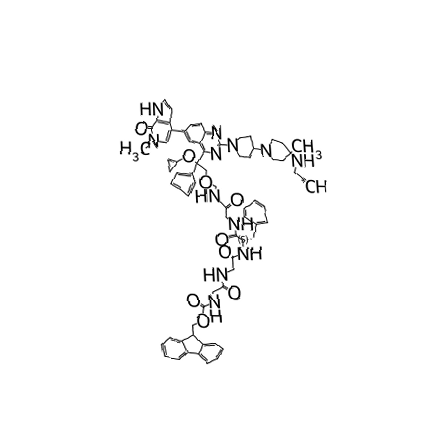 C#CCNC1(C)CCN(C2CCN(c3nc(C(COCNC(=O)CNC(=O)[C@H](Cc4ccccc4)NC(=O)CNC(=O)CNC(=O)OCC4c5ccccc5-c5ccccc54)(OC4CC4)c4ccccc4)c4cc(-c5cn(C)c(=O)c6[nH]ccc56)ccc4n3)CC2)CC1